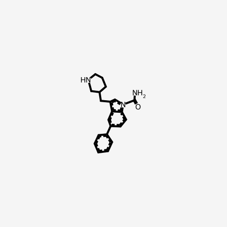 NC(=O)n1cc(CC2CCCNC2)c2cc(-c3ccccc3)ccc21